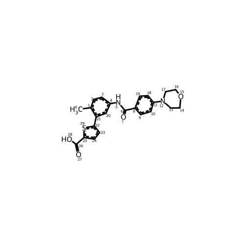 Cc1ccc(NC(=O)c2ccc(N3CCOCC3)cc2)cc1-c1ccc(C(=O)O)s1